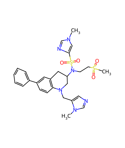 Cn1cnc(S(=O)(=O)N(CCS(C)(=O)=O)C2Cc3cc(-c4ccccc4)ccc3N(Cc3cncn3C)C2)c1